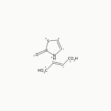 O=C(O)/C=C/C(=O)O.O=c1[nH]ccs1